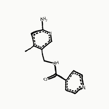 Cc1cc(N)ncc1CNC(=O)c1ccncc1